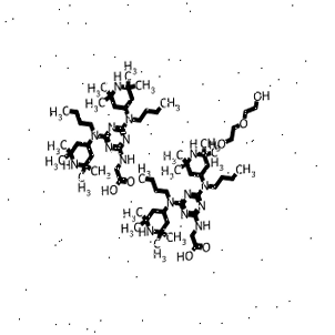 CCCCN(c1nc(NCC(=O)O)nc(N(CCCC)C2CC(C)(C)NC(C)(C)C2)n1)C1CC(C)(C)NC(C)(C)C1.CCCCN(c1nc(NCC(=O)O)nc(N(CCCC)C2CC(C)(C)NC(C)(C)C2)n1)C1CC(C)(C)NC(C)(C)C1.OCCOCCO